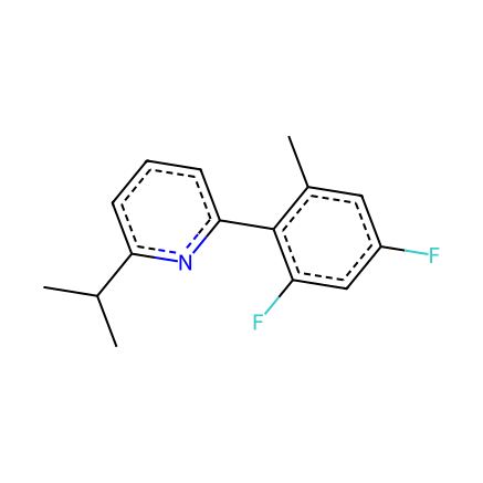 Cc1cc(F)cc(F)c1-c1cccc(C(C)C)n1